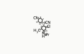 Cc1cc(C(C#N)c2ccc(Cl)cc2)c(Cl)cc1NC(C)C